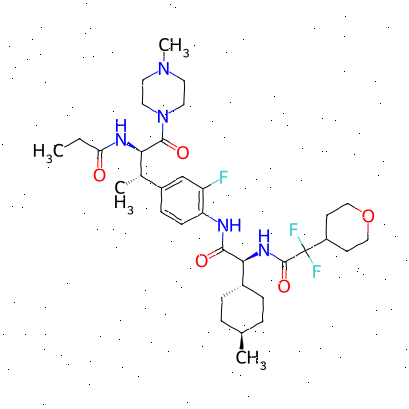 CCC(=O)N[C@@H](C(=O)N1CCN(C)CC1)[C@@H](C)c1ccc(NC(=O)[C@@H](NC(=O)C(F)(F)C2CCOCC2)[C@H]2CC[C@H](C)CC2)c(F)c1